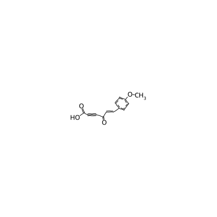 COc1ccc(/C=C/C(=O)C#CC(=O)O)cc1